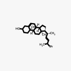 CC(C)C(C)C=C[C@@H](C)[C@H]1CC[C@H]2[C@@H]3CC=C4CC(O)CC[C@]4(C)[C@H]3CC[C@]12C